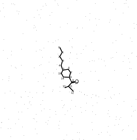 CCCCCC1CCC(C(=O)C(C)C)CC1